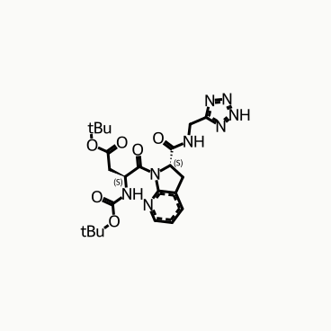 CC(C)(C)OC(=O)C[C@H](NC(=O)OC(C)(C)C)C(=O)N1c2ncccc2C[C@H]1C(=O)NCc1nn[nH]n1